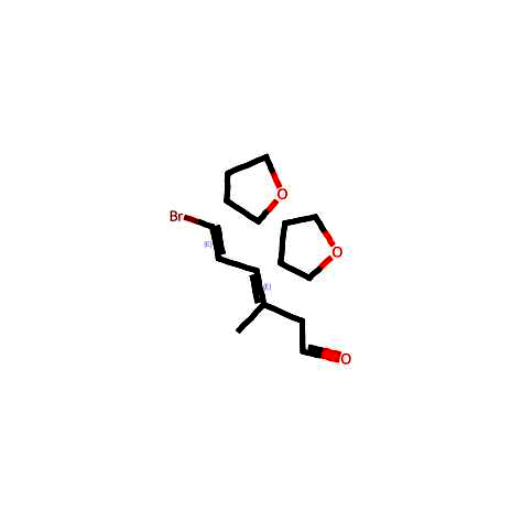 C/C(=C\C=C\Br)CC=O.C1CCOC1.C1CCOC1